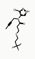 CC#CCN(C(=O)CCSCCC(F)(F)F)c1c[nH]nc1Cl